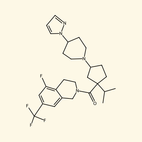 CC(C)C1(C(=O)N2CCc3c(F)cc(C(F)(F)F)cc3C2)CCC(N2CCC(n3cccn3)CC2)C1